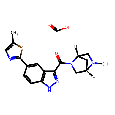 Cc1cnc(-c2ccc3[nH]nc(C(=O)N4C[C@@H]5C[C@H]4CN5C)c3c2)s1.O=CO